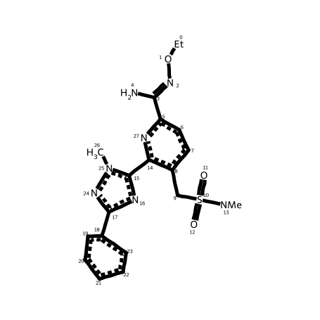 CCO/N=C(\N)c1ccc(CS(=O)(=O)NC)c(-c2nc(-c3ccccc3)nn2C)n1